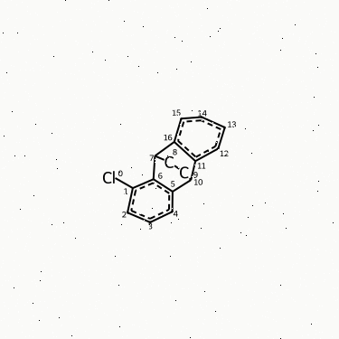 Clc1cccc2c1C1CCC2c2ccccc21